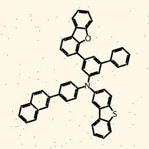 c1ccc(-c2cc(-c3cccc4c3oc3ccccc34)cc(N(c3ccc(-c4ccc5ccccc5c4)cc3)c3ccc4sc5ccccc5c4c3)c2)cc1